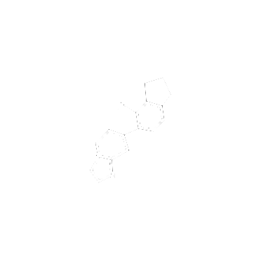 Nc1c(-c2ccn3ccnc3c2)ccc2c1CCC2